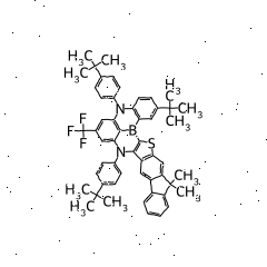 CC(C)(C)c1ccc(N2c3ccc(C(C)(C)C)cc3B3c4sc5cc6c(cc5c4N(c4ccc(C(C)(C)C)cc4)c4cc(C(F)(F)F)cc2c43)-c2ccccc2C6(C)C)cc1